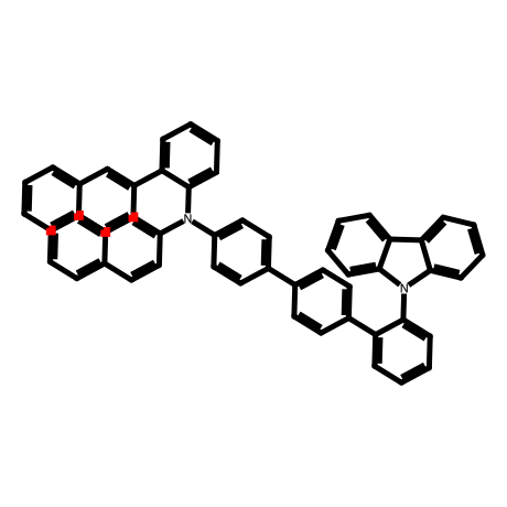 c1ccc(N(c2ccc(-c3ccc(-c4ccccc4-n4c5ccccc5c5ccccc54)cc3)cc2)c2ccc3ccccc3c2)c(-c2ccc3ccccc3c2)c1